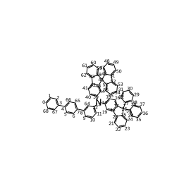 c1ccc(-c2ccc(-c3cccc(N(c4ccc5c(c4)-c4ccccc4C5(c4ccccc4)c4ccccc4)c4ccc5c(c4)C4(c6ccccc6-c6ccccc64)c4ccccc4-5)c3)cc2)cc1